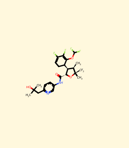 C[C@@H]1[C@H](C2CC=C(F)C(F)=C2OC(F)F)[C@@H](C(=O)Nc2ccc(CC(C)(C)O)nc2)O[C@]1(C)C(F)(F)F